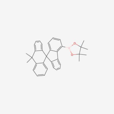 CC1(C)c2ccccc2C2(c3ccccc3-c3c(B4OC(C)(C)C(C)(C)O4)cccc32)c2ccccc21